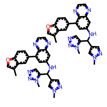 Cc1coc2ccc(-c3cc(NC(c4cnn(C)c4)c4cnnn4C)cc4nccnc34)cc12.Cc1coc2ccc(-c3cc(NC(c4cnn(C)c4)c4cnnn4C)cc4nccnc34)cc12